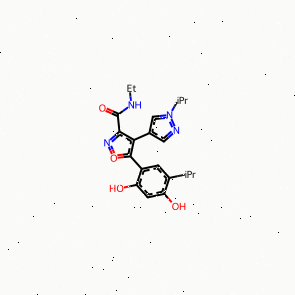 CCNC(=O)c1noc(-c2cc(C(C)C)c(O)cc2O)c1-c1cnn(C(C)C)c1